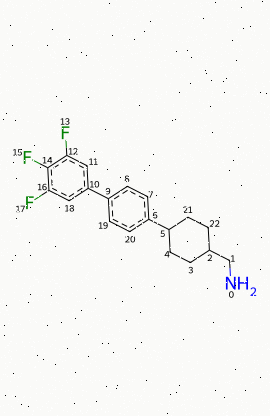 NCC1CCC(c2ccc(-c3cc(F)c(F)c(F)c3)cc2)CC1